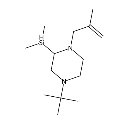 C=C(C)CN1CCN(C(C)(C)C)CC1[SiH](C)C